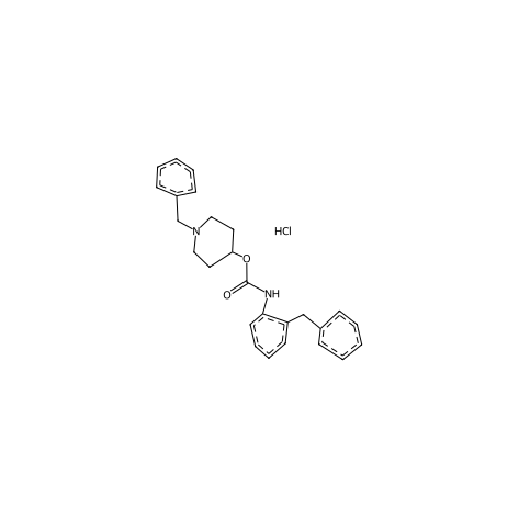 Cl.O=C(Nc1ccccc1Cc1ccccc1)OC1CCN(Cc2ccccc2)CC1